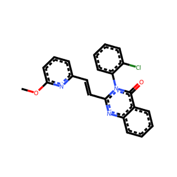 COc1cccc(/C=C/c2nc3ccccc3c(=O)n2-c2ccccc2Cl)n1